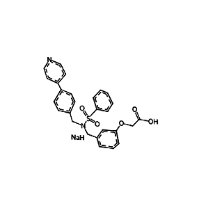 O=C(O)COc1cccc(CN(Cc2ccc(-c3ccncc3)cc2)S(=O)(=O)c2ccccc2)c1.[NaH]